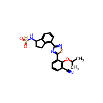 CC(C)Oc1c(C#N)cccc1-c1nc(-c2cccc3c2CCC3N[SH](=O)=O)ns1